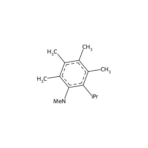 CNc1c(C)c(C)c(C)c(C)c1C(C)C